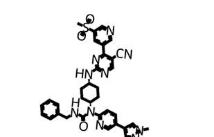 Cn1cc(-c2ccc(N(C(=O)NCc3ccccc3)[C@H]3CC[C@H](Nc4ncc(C#N)c(-c5cncc(S(C)(=O)=O)c5)n4)CC3)nc2)cn1